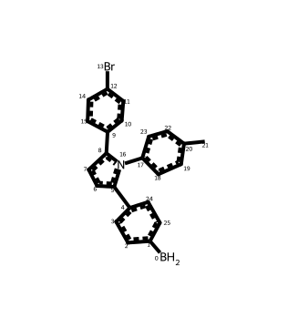 Bc1ccc(-c2ccc(-c3ccc(Br)cc3)n2-c2ccc(C)cc2)cc1